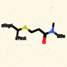 CCCCCCCC(CCCCC)SCCC(=O)N(C)OC(C)=O